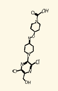 O=C(O)N1CCC(ON=C2CCN(c3nc(Cl)c(CO)nc3Cl)CC2)CC1